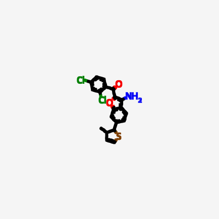 CC1C=CSC1c1ccc2c(N)c(C(=O)c3ccc(Cl)cc3Cl)oc2c1